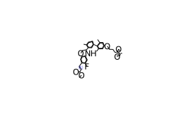 COC(=O)/C=C/c1cc2c(cc1F)NC(c1cc(-c3c(C)cc(OCCCS(C)(=O)=O)cc3C)ccc1C)CO2